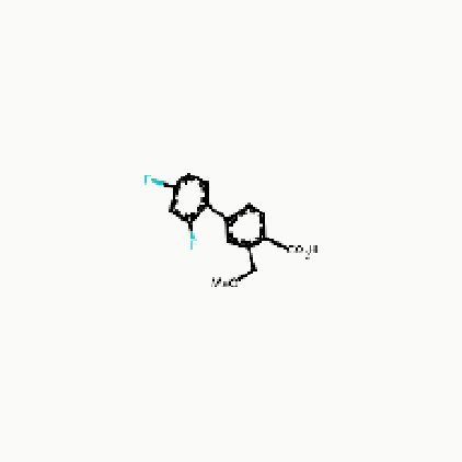 COCc1cc(-c2ccc(F)cc2F)ccc1C(=O)O